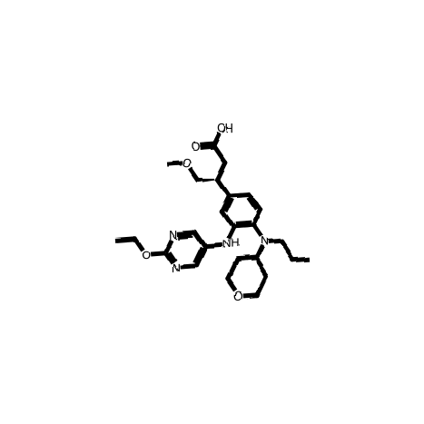 CCCN(c1ccc([C@@H](COC)CC(=O)O)cc1Nc1cnc(OCC)nc1)C1CCOCC1